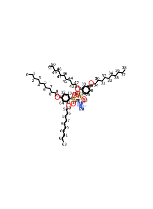 CCCCCCCCCCOc1ccc(S(=O)(=O)C(=[N+]=[N-])S(=O)(=O)c2ccc(OCCCCCCCCCC)cc2OCCCCCCCCCC)c(OCCCCCCCCCC)c1